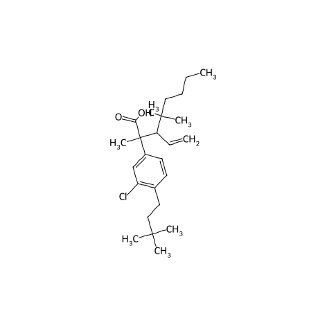 C=CC(C(C)(C)CCCC)C(C)(C(=O)O)c1ccc(CCC(C)(C)C)c(Cl)c1